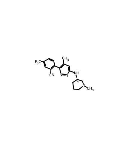 Cc1cc(N[C@@H]2CCCN(C)C2)nnc1-c1ccc(C(F)(F)F)cc1C#N